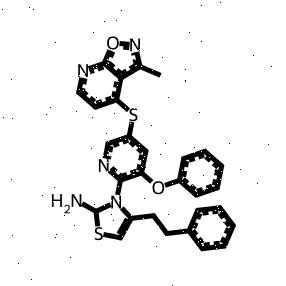 Cc1noc2nccc(Sc3cnc(N4C(CCc5ccccc5)=CSC4N)c(Oc4ccccc4)c3)c12